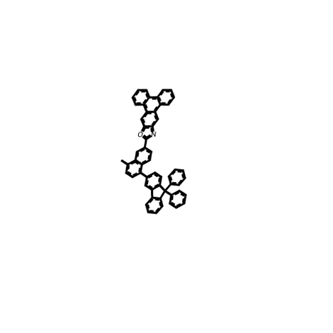 Cc1ccc(-c2ccc3c(c2)-c2ccccc2C3(c2ccccc2)c2ccccc2)c2ccc(-c3nc4cc5c6ccccc6c6ccccc6c5cc4o3)cc12